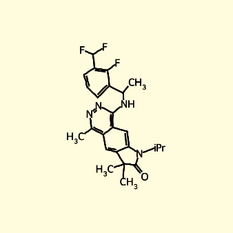 Cc1nnc(NC(C)c2cccc(C(F)F)c2F)c2cc3c(cc12)C(C)(C)C(=O)N3C(C)C